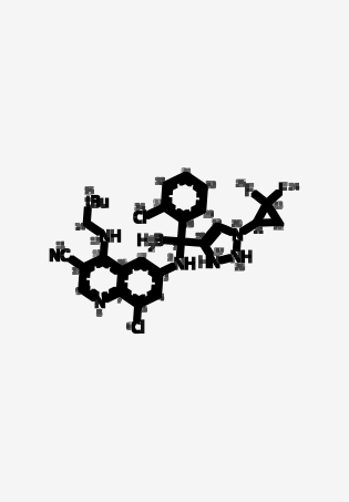 BC(Nc1cc(Cl)c2ncc(C#N)c(NCC(C)(C)C)c2c1)(C1=CN(C2CC2(F)F)NN1)c1ccccc1Cl